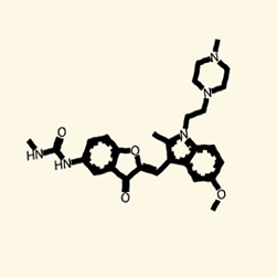 CNC(=O)Nc1ccc2c(c1)C(=O)/C(=C/c1c(C)n(CCN3CCN(C)CC3)c3ccc(OC)cc13)O2